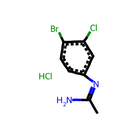 CC(N)=Nc1ccc(Br)c(Cl)c1.Cl